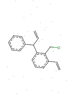 C=Cc1cccc(C(C=C)c2ccccc2)c1CCl